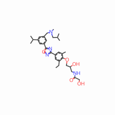 CCc1cc(-c2noc(-c3cc(CN(C)CC(C)C)cc(C(C)C)c3)n2)cc(C)c1OCC(O)CNC(=O)CO